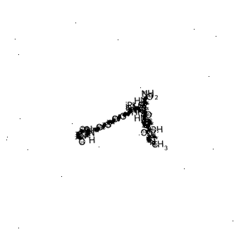 CC(C)[C@H](NC(=O)CCOCCOCCOCCOCCNC(=O)CN1C(=O)C=CC1O)C(=O)N[C@@H](CCCNC(N)=O)C(=O)Nc1ccc(C(O)C(=O)N2CCN(C)CC2)cc1